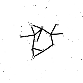 CC1(C)CC2OC2C2(C)OC12C